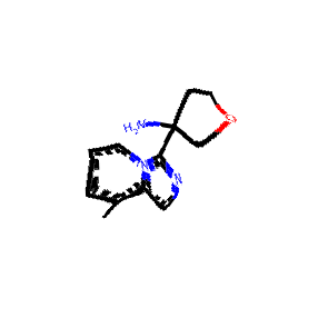 Cc1cccn2c(C3(N)CCOC3)ncc12